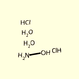 Cl.Cl.NO.O.O